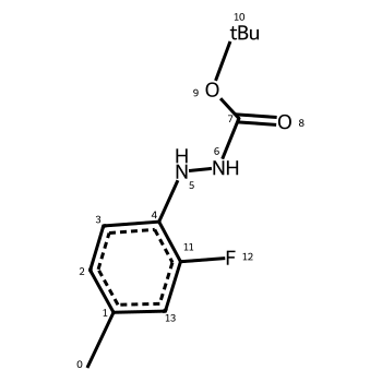 Cc1ccc(NNC(=O)OC(C)(C)C)c(F)c1